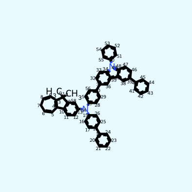 CC1(C)C2=C(C=CCC=C2)c2ccc(N(c3ccc(-c4ccccc4)cc3)c3ccc(-c4ccc5c(c4)c4cc(-c6ccccc6)ccc4n5-c4ccccc4)cc3)cc21